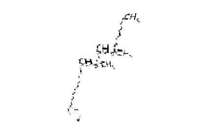 CCCCCCCCCCCCCCC(C)CCCC(C)CCCC(C)CCCC(C)CCCCCCCCCC